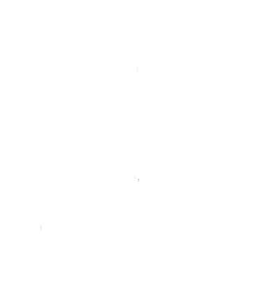 Fc1cc(F)cc(/C=C/c2ccc(N(c3ccc(/C=C/c4cc(F)cc(F)c4)cc3)c3ccc(/C=C/c4cc(F)cc(F)c4)cc3)cc2)c1